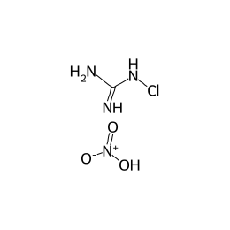 N=C(N)NCl.O=[N+]([O-])O